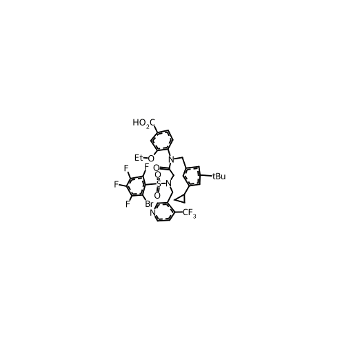 CCOc1cc(C(=O)O)ccc1N(Cc1cc(C2CC2)cc(C(C)(C)C)c1)C(=O)CN(Cc1cnccc1C(F)(F)F)S(=O)(=O)c1c(F)c(F)c(F)c(F)c1Br